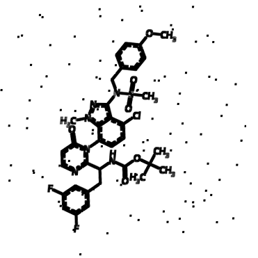 COc1ccc(CN(c2nn(C)c3c(-n4c(C(Cc5cc(F)cc(F)c5)NC(=O)OC(C)(C)C)n[c]cc4=O)ccc(Cl)c23)S(C)(=O)=O)cc1